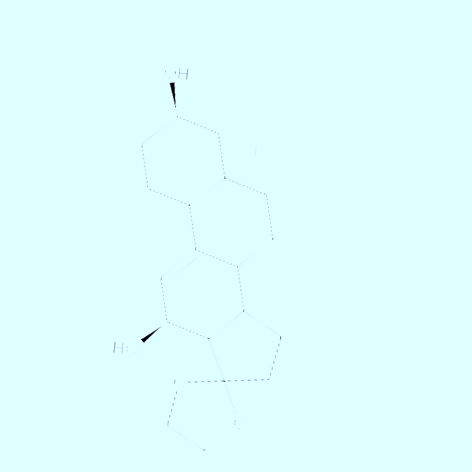 C[C@]12CC[C@@H](O)C[C@H]1CCC1C2=C[C@H](O)[C@@]2(C)C1CCC21OCCO1